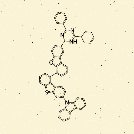 C1=CCC(C2=NC(c3ccccc3)=NC(c3ccc4oc5c(-c6cccc7sc8cc(-n9c%10ccccc%10c%10ccccc%109)ccc8c67)cccc5c4c3)N2)C=C1